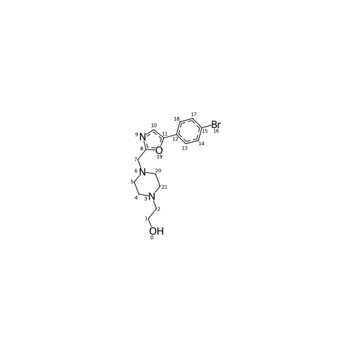 OCCN1CCN(Cc2ncc(-c3ccc(Br)cc3)o2)CC1